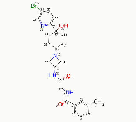 Cc1cccc(C(=O)NCC(=O)NC2CN(C3CCC(O)(c4ccc(Br)cn4)CC3)C2)c1